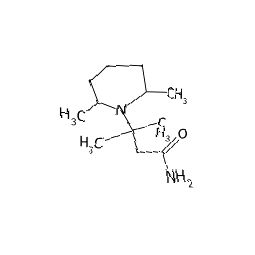 CC1CCCC(C)N1C(C)(C)CC(N)=O